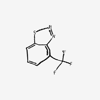 FC(F)(F)c1cccc2snnc12